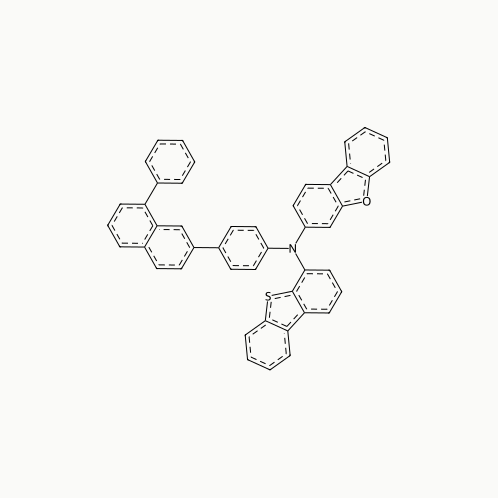 c1ccc(-c2cccc3ccc(-c4ccc(N(c5ccc6c(c5)oc5ccccc56)c5cccc6c5sc5ccccc56)cc4)cc23)cc1